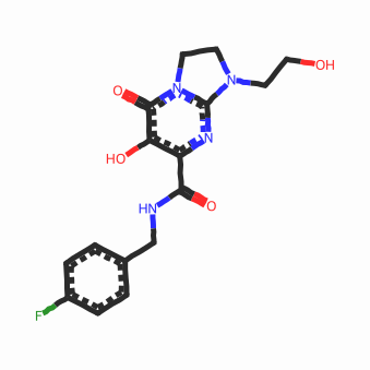 O=C(NCc1ccc(F)cc1)c1nc2n(c(=O)c1O)CCN2CCO